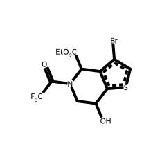 CCOC(=O)C1c2c(Br)csc2C(O)CN1C(=O)C(F)(F)F